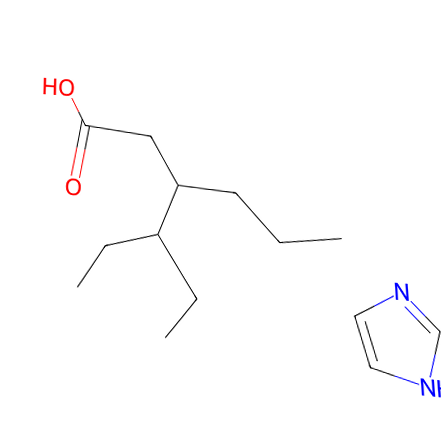 CCCC(CC(=O)O)C(CC)CC.c1c[nH]cn1